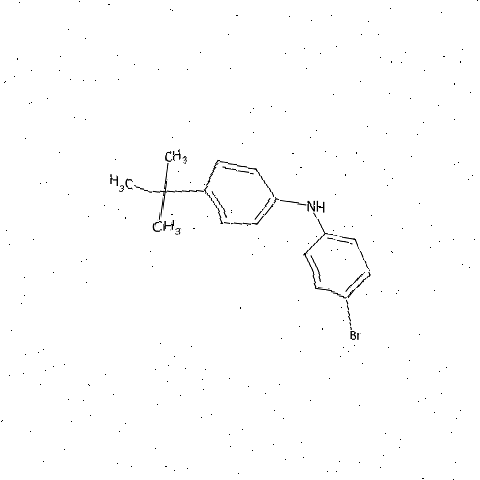 CC(C)(C)c1ccc(Nc2ccc(Br)cc2)cc1